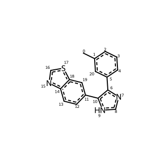 Cc1cccc(-c2nc[nH]c2-c2ccc3ncsc3c2)c1